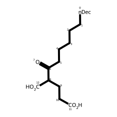 CCCCCCCCCCCCCCCC(=O)C(CCC(=O)O)C(=O)O